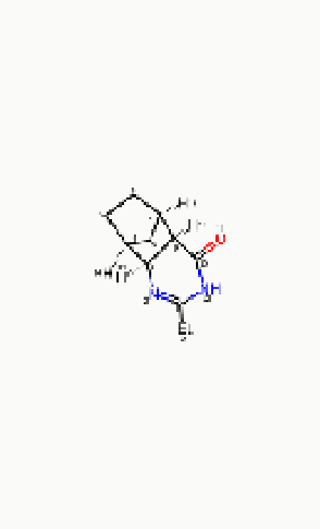 CCC1=N[C@H]2[C@H]3CC[C@H](C3)[C@H]2C(=O)N1